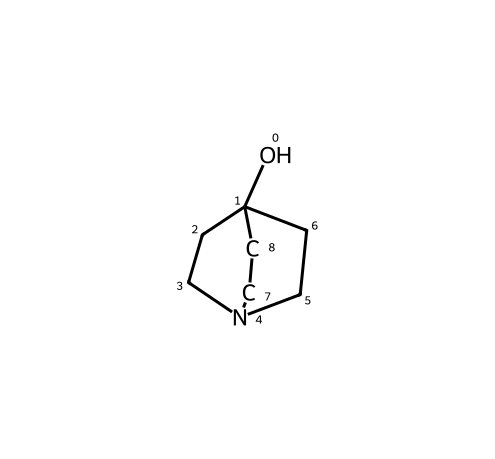 OC12CCN(CC1)CC2